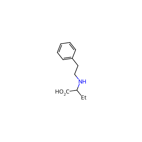 CCC(NCCc1ccccc1)C(=O)O